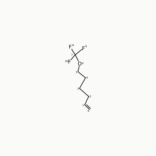 C=CCCCCOC(F)(F)F